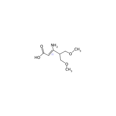 COCC(COC)/C(N)=C/C(=O)O